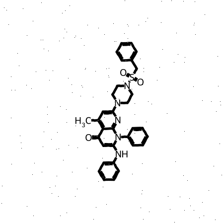 Cc1cc(N2CCN(S(=O)(=O)Cc3ccccc3)CC2)nc2c1c(=O)cc(Nc1ccccc1)n2-c1ccccc1